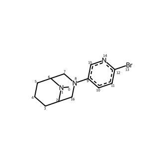 CN1C2CCCC1CN(c1ccc(Br)nc1)C2